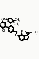 COc1cc(-c2ccc(COc3ccc4c(c3F)[C@]3(CC4)C[C@H]3C(=O)O)cc2[C@@H]2CCCC2(C)C)c(Cl)cn1